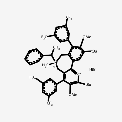 Br.COC1=C(C(C)(C)C)[C+]=C2C(=C1c1cc(C(F)(F)F)cc(C(F)(F)F)c1)C[N@+](C)(C(C)c1ccccc1)Cc1c2cc(C(C)(C)C)c(OC)c1-c1cc(C(F)(F)F)cc(C(F)(F)F)c1